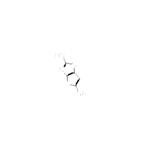 CNc1nc2sc(N)cc2[nH]1